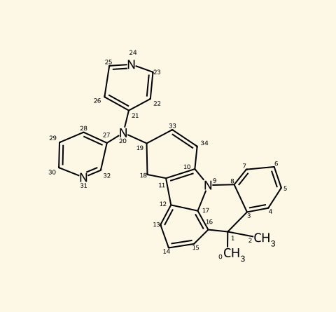 CC1(C)c2ccccc2-n2c3c(c4cccc1c42)CC(N(c1ccncc1)c1cccnc1)C=C3